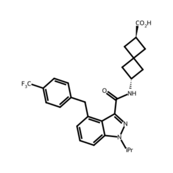 CC(C)n1nc(C(=O)N[C@H]2CC3(C2)C[C@H](C(=O)O)C3)c2c(Cc3ccc(C(F)(F)F)cc3)cccc21